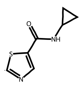 O=C(NC1CC1)c1cn[c]s1